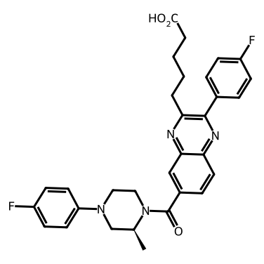 C[C@H]1CN(c2ccc(F)cc2)CCN1C(=O)c1ccc2nc(-c3ccc(F)cc3)c(CCCCC(=O)O)nc2c1